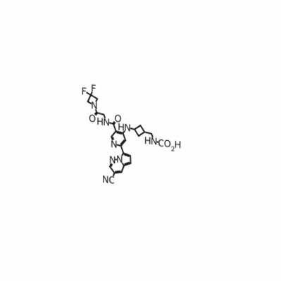 N#Cc1cnn2c(-c3cc(NC4CC(CNC(=O)O)C4)c(C(=O)NCC(=O)N4CC(F)(F)C4)cn3)ccc2c1